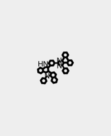 c1ccc(-c2nc(-c3ccc4[nH]c5c6ccccc6c6c(c7ccc8ccccc8c7n6-c6ccccc6)c5c4c3)nc3c4ccccc4c4ccccc4c23)cc1